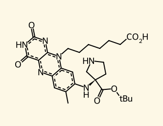 Cc1cc2nc3c(=O)[nH]c(=O)nc-3n(CCCCCCC(=O)O)c2cc1N[C@]1(C(=O)OC(C)(C)C)CCNC1